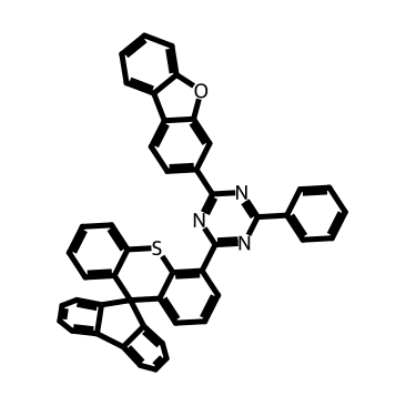 c1ccc(-c2nc(-c3ccc4c(c3)oc3ccccc34)nc(-c3cccc4c3Sc3ccccc3C43c4ccccc4-c4ccccc43)n2)cc1